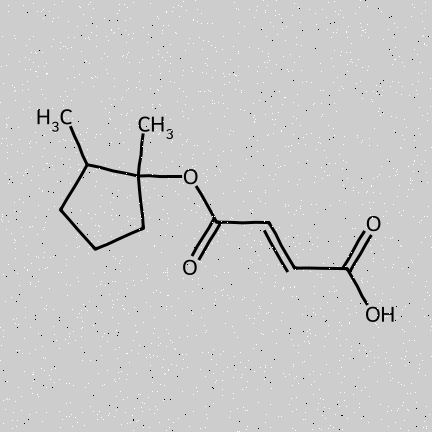 CC1CCCC1(C)OC(=O)/C=C/C(=O)O